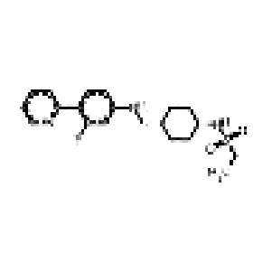 CCS(=O)(=O)N[C@H]1CC[C@H](CNc2ccc(-c3ccccn3)c(F)c2)CC1